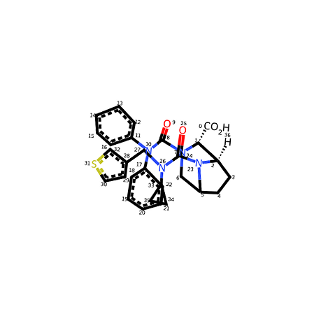 O=C(O)[C@@H]1[C@H]2CCC(CN1C(=O)N(c1ccccc1)c1ccccc1)N2C(=O)N(Cc1ccsc1)C1CC1